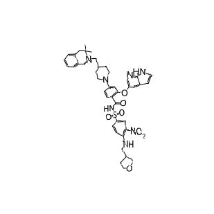 CC1(C)Cc2ccccc2CN1CC1CCN(c2ccc(C(=O)NS(=O)(=O)c3ccc(NCC4CCOCC4)c([N+](=O)[O-])c3)c(Oc3cnc4[nH]ccc4c3)c2)CC1